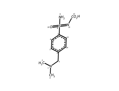 CN(C)Cc1ccc(S(N)(=O)=NC(=O)O)cc1